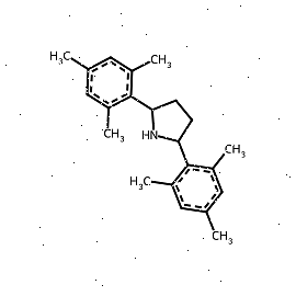 Cc1cc(C)c(C2CCC(c3c(C)cc(C)cc3C)N2)c(C)c1